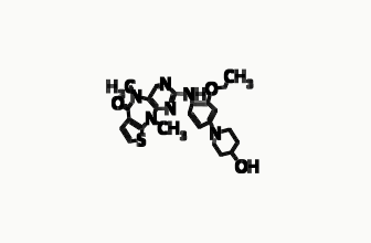 CCOc1cc(N2CCC(O)CC2)ccc1Nc1ncc2c(n1)N(C)c1sccc1C(=O)N2C